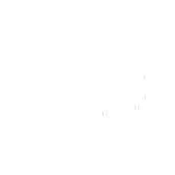 CC1(C)OB(c2ccc3ccc4ccc5oc6ccccc6c5c4c3c2)OC1(C)C